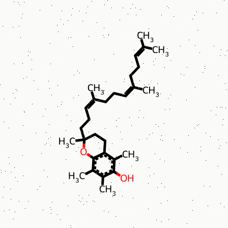 CC(C)=CCCC(C)=CCCC(C)=CCCC1(C)CCc2c(C)c(O)c(C)c(C)c2O1